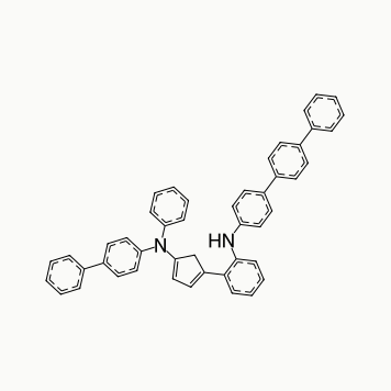 C1=C(c2ccccc2Nc2ccc(-c3ccc(-c4ccccc4)cc3)cc2)CC(N(c2ccccc2)c2ccc(-c3ccccc3)cc2)=C1